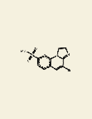 CNS(=O)(=O)c1ncc2c(n1)N1CCN=C1C(Br)=C2